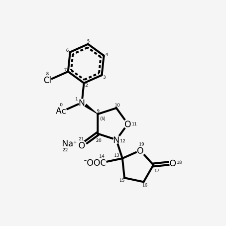 CC(=O)N(c1ccccc1Cl)[C@H]1CON(C2(C(=O)[O-])CCC(=O)O2)C1=O.[Na+]